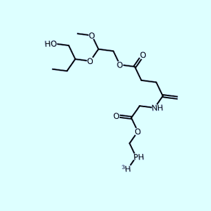 [3H]PCOC(=O)CNC(=C)CCC(=O)OCC(OC)OC(CC)CO